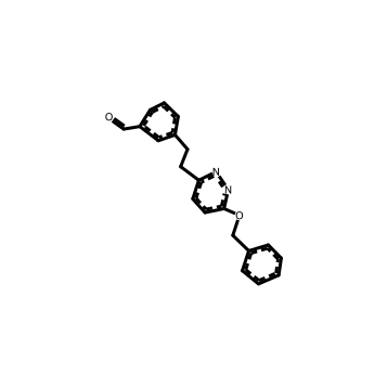 O=Cc1cccc(CCc2ccc(OCc3ccccc3)nn2)c1